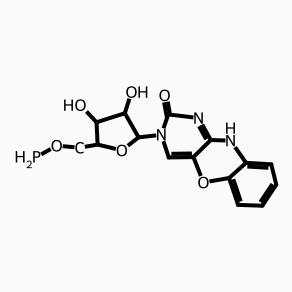 O=c1nc2c(cn1C1OC(COP)C(O)C1O)Oc1ccccc1N2